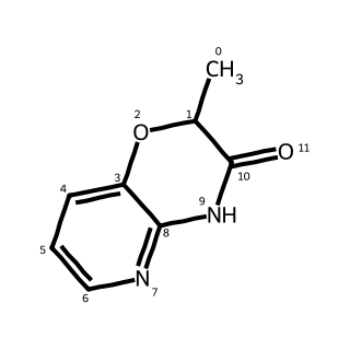 CC1Oc2cccnc2NC1=O